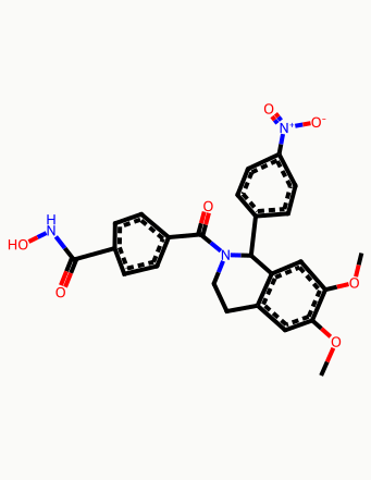 COc1cc2c(cc1OC)C(c1ccc([N+](=O)[O-])cc1)N(C(=O)c1ccc(C(=O)NO)cc1)CC2